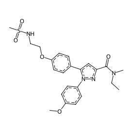 CCN(C)C(=O)c1cc(-c2ccc(OCCNS(C)(=O)=O)cc2)n(-c2ccc(OC)cc2)n1